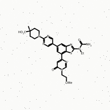 CCN(C(N)=O)c1nc2cc(-c3cnc(N4CCC(C)(C(=O)O)CC4)nc3)cc(-c3cc(=O)n(CCOC)cn3)c2s1